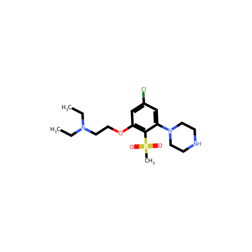 CCN(CC)CCOc1cc(Cl)cc(N2CCNCC2)c1S(C)(=O)=O